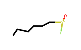 CCCCCC[S+]([O-])F